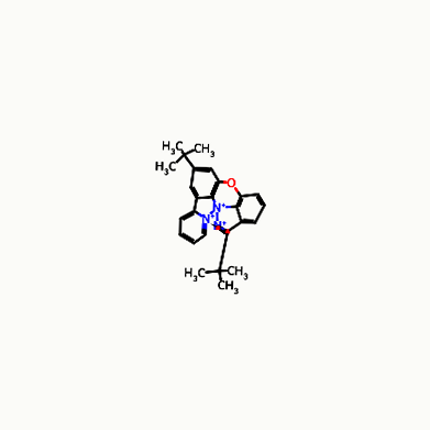 CC(C)(C)c1cc2c3c(c1)-c1cccc[n+]1[N+]31c3c(cccc3-c3cc(C(C)(C)C)cc[n+]31)O2